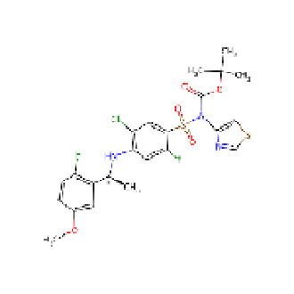 COc1ccc(F)c([C@H](C)Nc2cc(F)c(S(=O)(=O)N(C(=O)OC(C)(C)C)c3cscn3)cc2Cl)c1